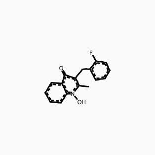 Cc1c(Cc2ccccc2F)c(=O)c2ccccc2n1O